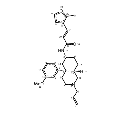 C=CCN1CC[C@@]2(c3cccc(OC)c3)C[C@H](NC(=O)C=Cc3ccoc3C)CC[C@@H]2C1